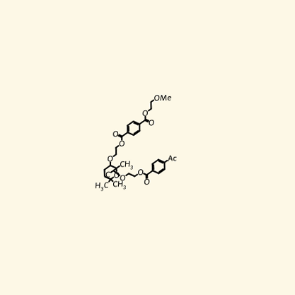 COCCOC(=O)c1ccc(C(=O)OCCOC2CC3CC(OCCOC(=O)c4ccc(C(C)=O)cc4)C2(C)OC3(C)C)cc1